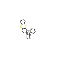 c1ccc2c(c1)Sc1ccc3c(c1S2)-c1ccccc1C31C2CC3CCC(C2)CC1C3